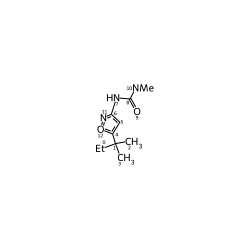 CCC(C)(C)c1cc(NC(=O)NC)no1